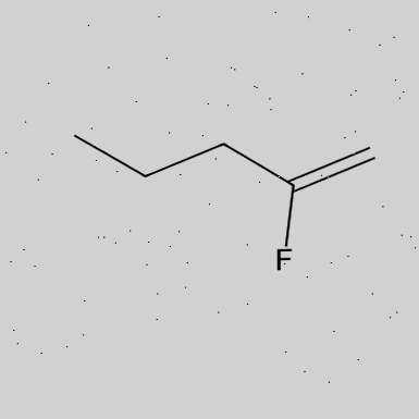 C=C(F)CCC